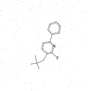 CC(C)(C)Cc1ccc(-c2ccccc2)nc1F